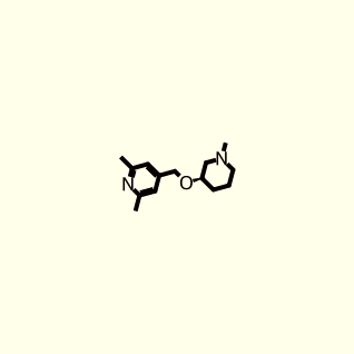 Cc1cc(CO[C@@H]2CCCN(C)C2)cc(C)n1